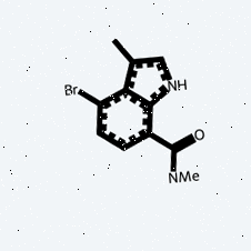 CNC(=O)c1ccc(Br)c2c(C)c[nH]c12